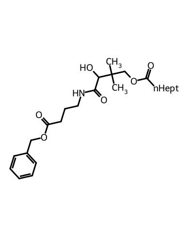 CCCCCCCC(=O)OCC(C)(C)C(O)C(=O)NCCCC(=O)OCc1ccccc1